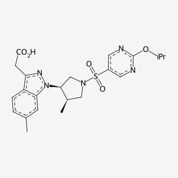 Cc1ccc2c(CC(=O)O)nn([C@H]3CN(S(=O)(=O)c4cnc(OC(C)C)nc4)C[C@H]3C)c2c1